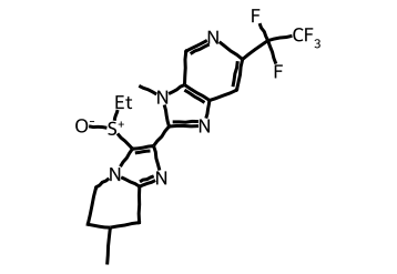 CC[S+]([O-])c1c(-c2nc3cc(C(F)(F)C(F)(F)F)ncc3n2C)nc2n1CCC(C)C2